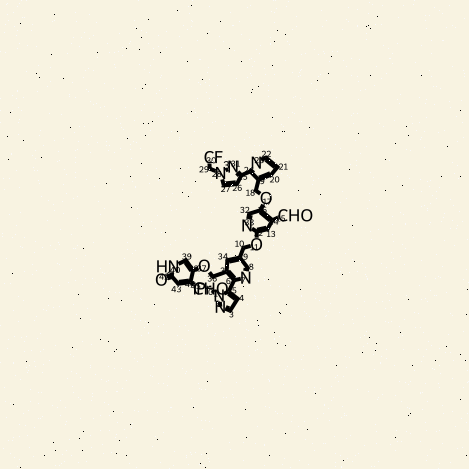 CC(C)n1nccc1-c1ncc(COc2cc(C=O)c(OCc3cccnc3-c3ccn(CC(F)(F)F)n3)cn2)cc1COc1c[nH]c(=O)cc1C=O